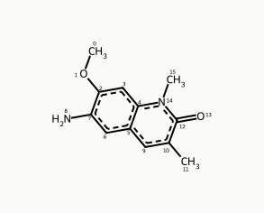 COc1cc2c(cc1N)cc(C)c(=O)n2C